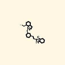 [CH2]Cc1cccc2ccn(Cc3cccc(/C=C/c4nc5ccccc5s4)c3)c12